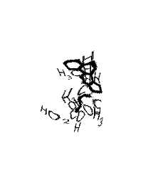 CC(CC(O)C(O)(O)C(=O)O)[C@H]1CC[C@H]2[C@@H]3CC[C@@H]4CCCC[C@]4(C)[C@H]3CC[C@]12C